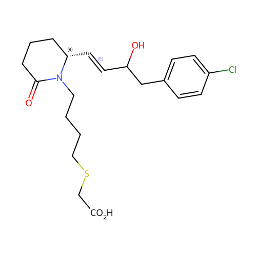 O=C(O)CSCCCCN1C(=O)CCC[C@@H]1/C=C/C(O)Cc1ccc(Cl)cc1